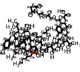 CC[C@H](C)[C@H](NC(=O)[C@H](CO)NC(=O)[C@H](Cc1ccc(O)cc1)NC(=O)[C@H](CC(=O)O)NC(=O)[C@H](CO)NC(=O)[C@@H](NC(=O)[C@H](Cc1ccccc1)NC(=O)[C@@H](NC(=O)CNC(=O)[C@H](CCC(=O)O)CC(=O)COCC(=O)NCCN1C(=O)CSC1=O)[C@@H](C)O)[C@@H](C)O)C(=O)N[C@@H](Cc1ccc(O)cc1)C(=O)N[C@@H](CC(C)C)C(=O)N[C@@H](CC(=O)O)C(=O)N[C@H](C)CCCCN